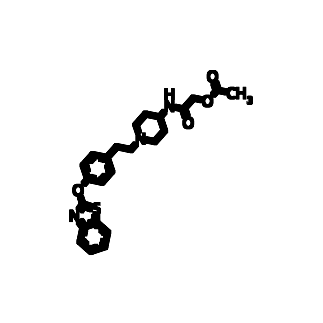 CC(=O)OCC(=O)NC1CCN(CCc2ccc(Oc3nc4ccccc4s3)cc2)CC1